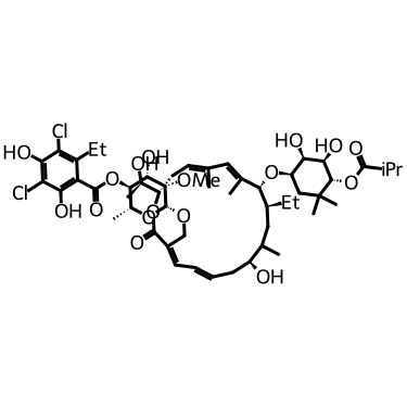 CCc1c(Cl)c(O)c(Cl)c(O)c1C(=O)O[C@H]1[C@H](O)[C@H](OC)[C@H](OC/C2=C\C=C\C[C@H](O)C(C)C[C@H](CC)[C@@H](O[C@@H]3CC(C)(C)[C@@H](OC(=O)C(C)C)[C@H](O)[C@@H]3O)/C(C)=C/C(C)=C/C[C@@H]([C@@H](C)O)OC2=O)O[C@@H]1C